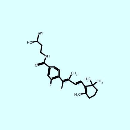 CCCC(O)CCNC(=O)c1ccc(/C(F)=C(C)/C=C/C2=C(C)CCCC2(C)C)c(F)c1